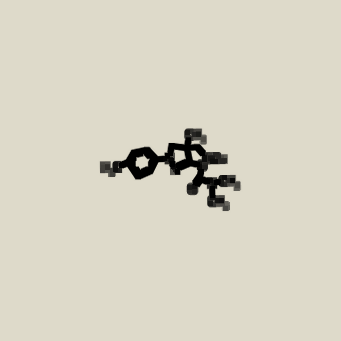 Cc1ccc(N2CC(C)(COCC(C)C)C(OC(=O)N(C)C)=N2)cc1